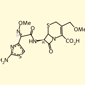 COCC1=C(C(=O)O)N2C(=O)[C@@H](NC(=O)/C(=N\OC)c3csc(N)n3)C2SC1